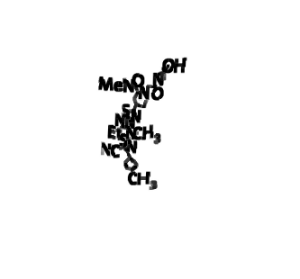 CCc1nc2sc(C3CCN(CC(=O)N4CC(O)C4)[C@H](C(=O)NC)C3)nn2c1N(C)c1nc(-c2ccc(C)cc2)c(C#N)s1